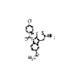 COc1ccc2c(c1)c(CC(N)=S)c(C)n2C(=O)c1ccc(Cl)cc1